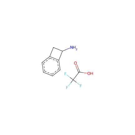 NC1Cc2ccccc21.O=C(O)C(F)(F)F